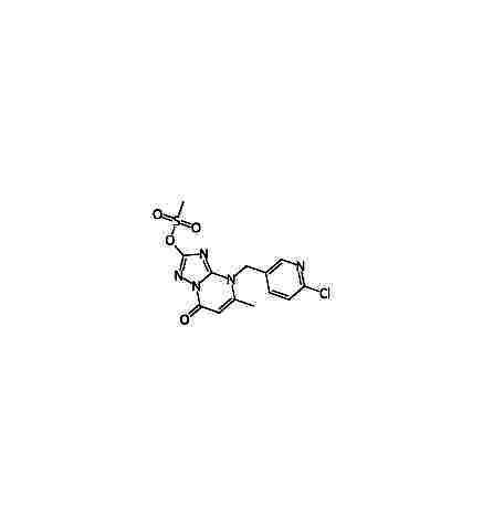 Cc1cc(=O)n2nc(OS(C)(=O)=O)nc2n1Cc1ccc(Cl)nc1